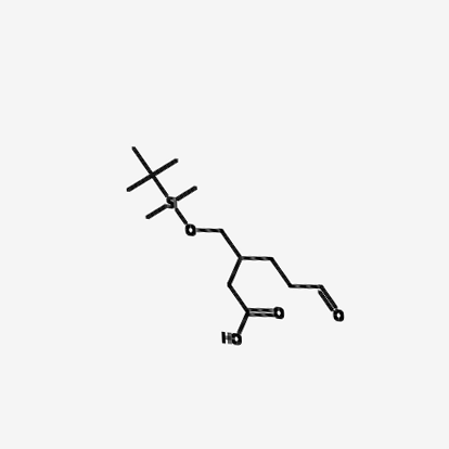 CC(C)(C)[Si](C)(C)OCC(CCC=O)CC(=O)O